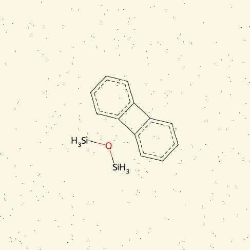 [SiH3]O[SiH3].c1ccc2c(c1)-c1ccccc1-2